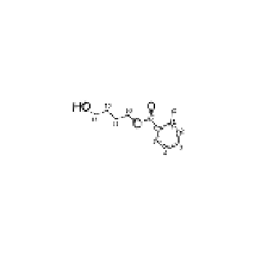 Cc1ccccc1C(=O)OCCCCO